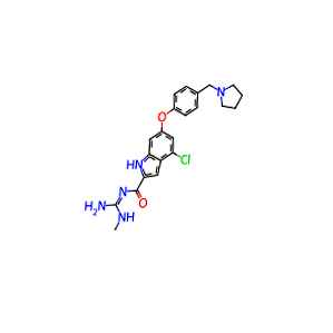 CNC(N)=NC(=O)c1cc2c(Cl)cc(Oc3ccc(CN4CCCC4)cc3)cc2[nH]1